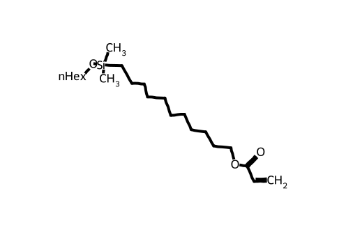 C=CC(=O)OCCCCCCCCCCC[Si](C)(C)OCCCCCC